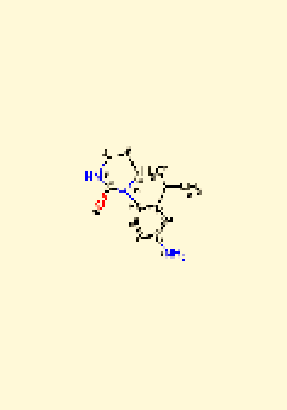 CC(C)c1cc(N)ccc1N1CCCNC1=O